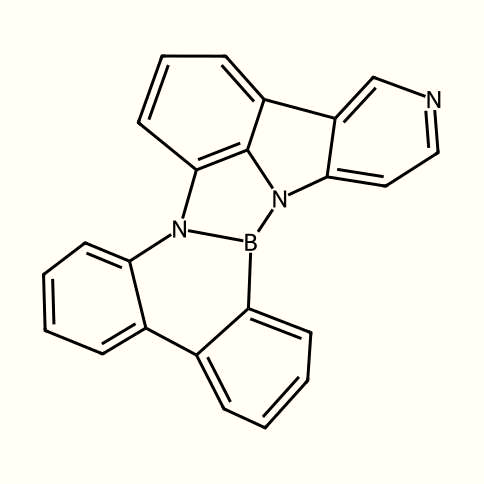 c1ccc2c(c1)B1N(c3ccccc3-2)c2cccc3c4cnccc4n1c23